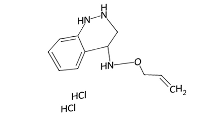 C=CCONC1CNNc2ccccc21.Cl.Cl